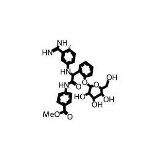 COC(=O)c1ccc(NC(=O)C(Nc2cccc(C(=N)N)c2)c2ccccc2OC2OC(CO)C(O)C(O)C2O)cc1